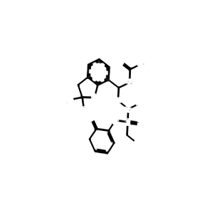 CCP(=S)(OC1=CC=CCC1=S)N(C)SC(NC(=O)O)c1cccc2c1OC(C)(C)C2